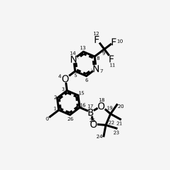 Cc1cc(Oc2cnc(C(F)(F)F)cn2)cc(B2OC(C)(C)C(C)(C)O2)c1